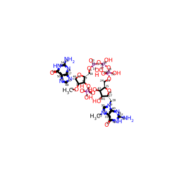 COC1C(OP(=O)(O)O)[C@@H](COP(=O)(O)OP(=O)(O)OP(=O)(O)OC[C@H]2O[C@H](Cn3c[n+](C)c4c(=O)[nH]c(N)nc43)C(O)C2O)O[C@H]1n1cnc2c(=O)[nH]c(N)nc21